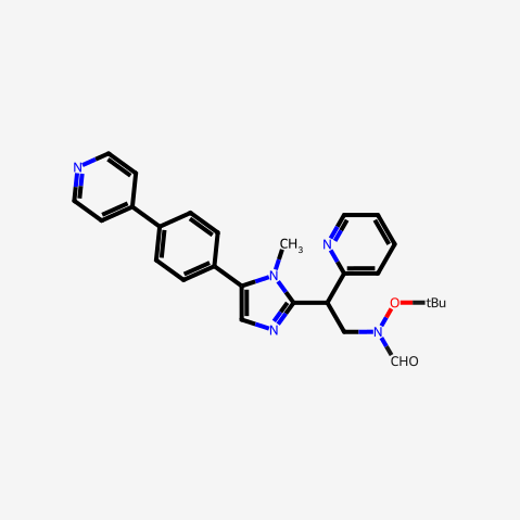 Cn1c(-c2ccc(-c3ccncc3)cc2)cnc1C(CN(C=O)OC(C)(C)C)c1ccccn1